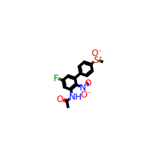 CC(=O)Nc1cc(F)cc(-c2ccc([S+](C)[O-])cc2)c1[N+](=O)[O-]